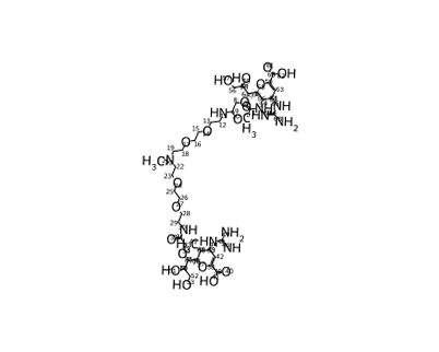 CC(=O)N[C@H]1[C@H]([C@H](OCC(=O)NCCOCCOCCN(C)CCOCCOCCNC(=O)CO[C@@H]([C@@H]2OC(C(=O)O)=C[C@H](NC(=N)N)[C@H]2C)[C@H](O)CO)[C@H](O)CO)OC(C(=O)O)=C[C@@H]1NC(=N)N